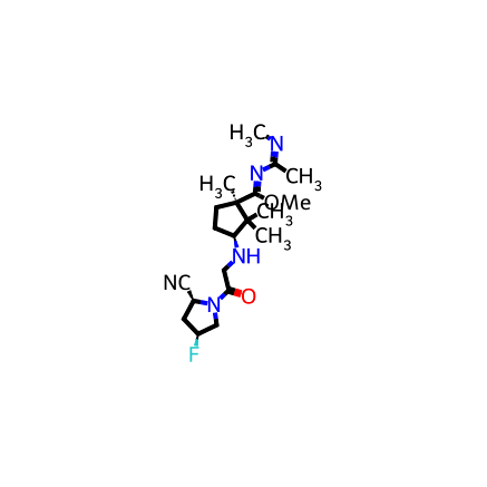 C/N=C(C)\N=C(/OC)[C@]1(C)CC[C@H](NCC(=O)N2C[C@@H](F)C[C@H]2C#N)C1(C)C